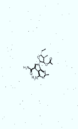 CC[C@H]1O[C@@H](n2cc(C(N)=O)c3c(N)nc(C)nc32)[C@H](OC(C)=O)[C@@H]1C